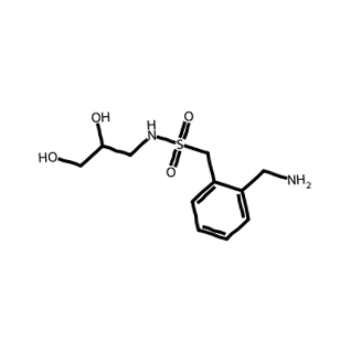 NCc1ccccc1CS(=O)(=O)NCC(O)CO